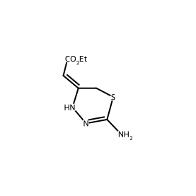 CCOC(=O)C=C1CSC(N)=NN1